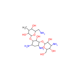 CC1C(O)C(CN)OC(OC2C(N)CC(N)C(OC3OC(CO)C(O)C(N)C3O)C2O)C1O